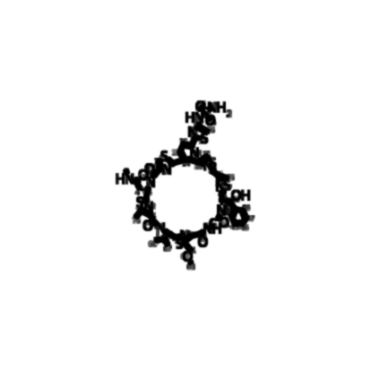 CNC(=O)C[C@@H]1NC(=O)c2csc(n2)-c2ccc(-c3nc(NS(N)(=O)=O)cs3)nc2-c2csc(n2)-c2csc(n2)[C@H]([C@@H](O)c2ccccc2)NC(=O)CNC(=O)c2nc(sc2COC)[C@H](C(C)C)NC(=O)c2nc1sc2C